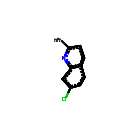 CCCc1ccc2ccc(Cl)cc2n1